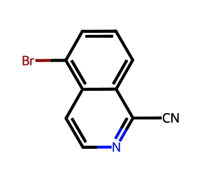 N#Cc1nccc2c(Br)cccc12